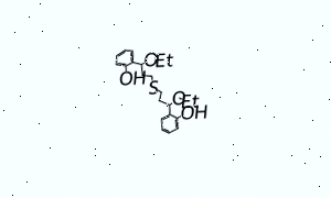 CCOC(CCSCCC(OCC)c1ccccc1O)c1ccccc1O